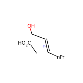 CC(=O)O.CCC/C=C/CO